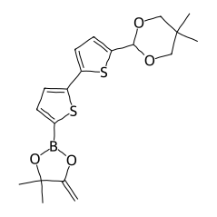 C=C1OB(c2ccc(-c3ccc(C4OCC(C)(C)CO4)s3)s2)OC1(C)C